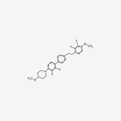 COc1ccc(CCc2ccc(-c3ccc(C4CCC(OC)CC4)c(F)c3F)cc2)c(F)c1F